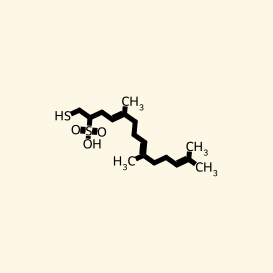 CC(C)=CCCC(C)=CCCC(C)=CCC(CS)S(=O)(=O)O